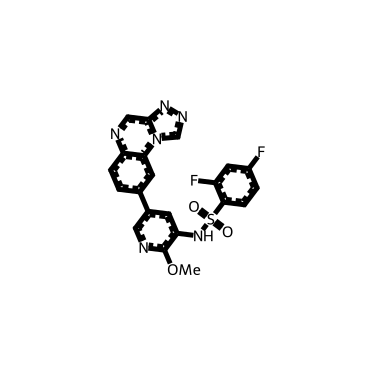 COc1ncc(-c2ccc3ncc4nncn4c3c2)cc1NS(=O)(=O)c1ccc(F)cc1F